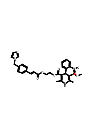 COC(=O)C1=C(C)NC(C)=C(C(=O)OCCOC(=O)C=Cc2ccc(Cn3ccnc3)cc2)C1c1ccccc1[N+](=O)[O-]